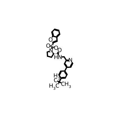 CC(C)(C)c1ccc(-c2ccnc(CNC(=O)[C@@H]3CCCN3S(=O)(=O)c3cc4ccccc4o3)c2)cc1